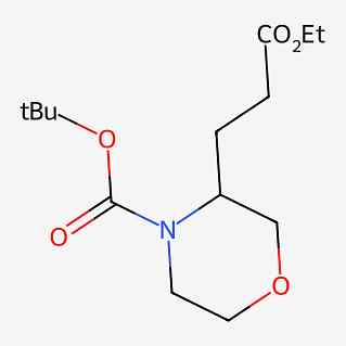 CCOC(=O)CCC1COCCN1C(=O)OC(C)(C)C